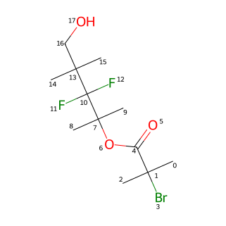 CC(C)(Br)C(=O)OC(C)(C)C(F)(F)C(C)(C)CO